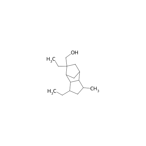 CCC1CC(C)C2C3CC(C12)C(CC)(CO)C3